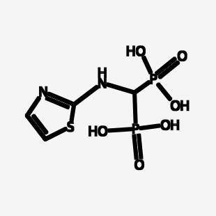 O=P(O)(O)C(Nc1nccs1)P(=O)(O)O